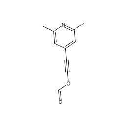 Cc1cc(C#COC=O)cc(C)n1